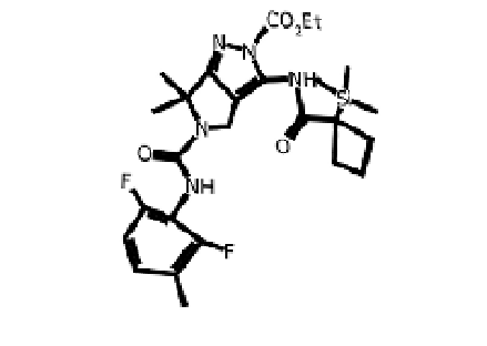 CCOC(=O)n1nc2c(c1NC(=O)C1([Si](C)(C)C)CCC1)CN(C(=O)Nc1c(F)ccc(C)c1F)C2(C)C